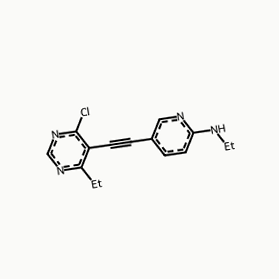 CCNc1ccc(C#Cc2c(Cl)ncnc2CC)cn1